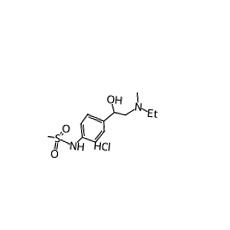 CCN(C)CC(O)c1ccc(NS(C)(=O)=O)cc1.Cl